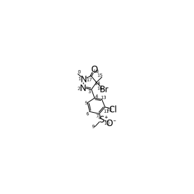 CN1N=C(c2ccc([S+](C)[O-])c(Cl)c2)C(C)(Br)C1=O